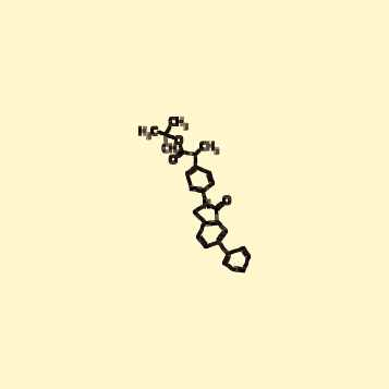 CC(C(=O)OC(C)(C)C)c1ccc(N2Cc3ccc(-c4ccccc4)cc3C2=O)cc1